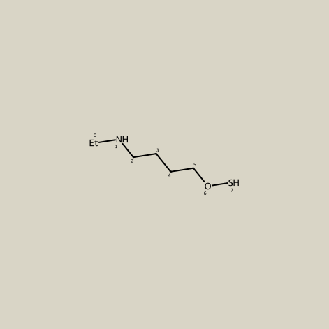 CCNCCCCOS